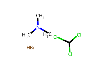 Br.CN(C)C.ClC(Cl)Cl